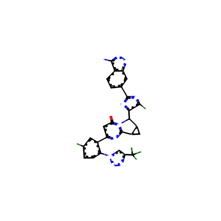 Nc1n[nH]c2cc(-c3nc(F)c(C4C5CC5c5nc(-c6cc(Cl)ccc6-n6cc(C(F)(F)F)nn6)cc(=O)n54)[nH]3)ccc12